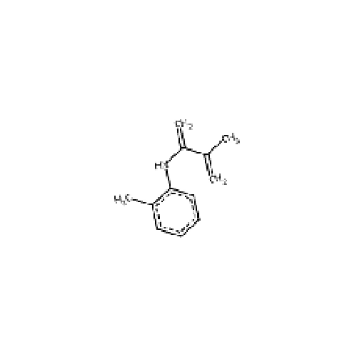 C=C(C)C(=C)Nc1ccccc1C